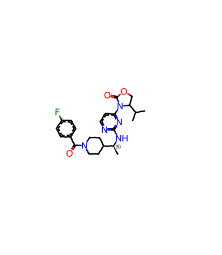 CC(C)C1COC(=O)N1c1ccnc(N[C@@H](C)C2CCN(C(=O)c3ccc(F)cc3)CC2)n1